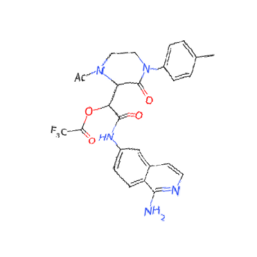 CC(=O)N1CCN(c2ccc(C)cc2)C(=O)C1C(OC(=O)C(F)(F)F)C(=O)Nc1ccc2c(N)nccc2c1